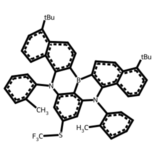 Cc1ccccc1N1c2cc(SC(F)(F)F)cc3c2B(c2ccc4c(C(C)(C)C)cccc4c21)c1ccc2c(C(C)(C)C)cccc2c1N3c1ccccc1C